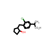 CC(C(=O)O)c1ccc(CC2CCCC2O)c(Cl)c1